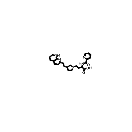 O=C(NC(CCN1CCC(CCc2ccc3c(n2)NCCC3)C1)C(=O)O)c1ccccn1